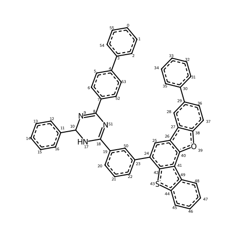 c1ccc(-c2ccc(C3=NC(c4ccccc4)NC(c4cccc(-c5cc6c7cc(-c8ccccc8)ccc7oc6c6c5sc5ccccc56)c4)=N3)cc2)cc1